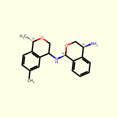 Cc1ccc2c(c1)C(N[C@H]1OC[C@@H](N)c3ccccc31)CO[C@H]2C